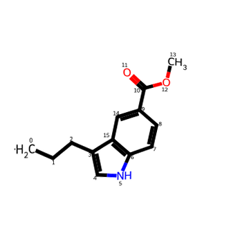 [CH2]CCc1c[nH]c2ccc(C(=O)OC)cc12